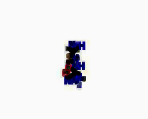 Cn1cc(C(=O)Nc2csc(-c3cn[nH]c3)n2)c(C(N)=O)n1